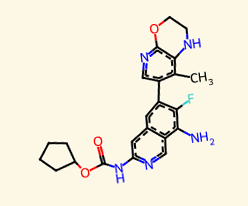 Cc1c(-c2cc3cc(NC(=O)OC4CCCC4)ncc3c(N)c2F)cnc2c1NCCO2